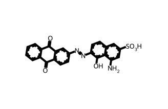 Nc1cc(S(=O)(=O)O)cc2ccc(N=Nc3ccc4c(c3)C(=O)c3ccccc3C4=O)c(O)c12